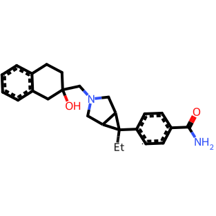 CCC1(c2[c]cc(C(N)=O)cc2)C2CN(CC3(O)CCc4ccccc4C3)CC21